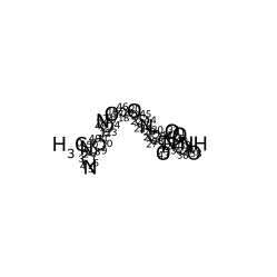 Cn1c2ccncc2c2ccc(-c3ccc(O[C@H]4C[C@H](OC5CCN(c6ccc7c(c6)C(=O)N(C6CCC(=O)NC6=O)C7=O)CC5)C4)nc3)cc21